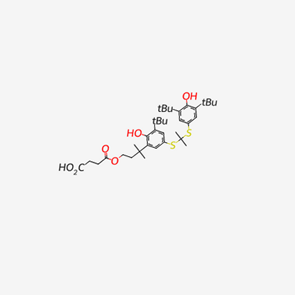 CC(C)(Sc1cc(C(C)(C)C)c(O)c(C(C)(C)C)c1)Sc1cc(C(C)(C)C)c(O)c(C(C)(C)CCOC(=O)CCC(=O)O)c1